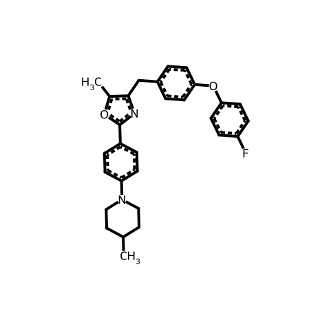 Cc1oc(-c2ccc(N3CCC(C)CC3)cc2)nc1Cc1ccc(Oc2ccc(F)cc2)cc1